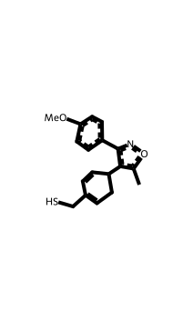 COc1ccc(-c2noc(C)c2C2C=CC(CS)=CC2)cc1